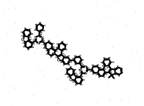 CC1(C)c2ccccc2-c2c1c1ccc3cc(-c4nc(-c5cccc(-c6ccc7oc8c9ccc%10cc(-c%11nc(-c%12ccccc%12)nc(-c%12cccc%13oc%14ccccc%14c%12%13)n%11)ccc%10c9c9ccccc9c8c7c6)c5)nc(-c5cccc6oc7ccccc7c56)n4)ccc3c1c1ccccc21